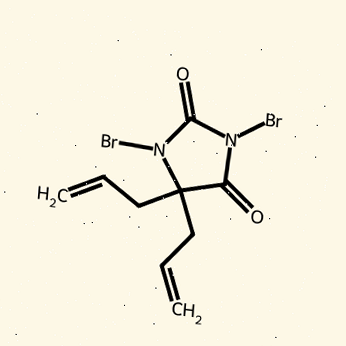 C=CCC1(CC=C)C(=O)N(Br)C(=O)N1Br